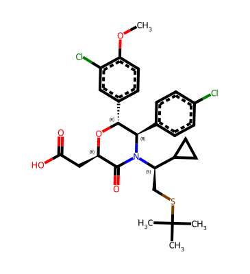 COc1ccc([C@H]2O[C@H](CC(=O)O)C(=O)N([C@H](CSC(C)(C)C)C3CC3)[C@@H]2c2ccc(Cl)cc2)cc1Cl